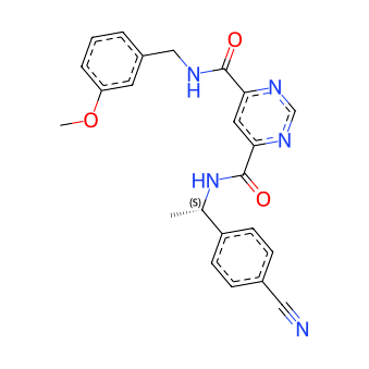 COc1cccc(CNC(=O)c2cc(C(=O)N[C@@H](C)c3ccc(C#N)cc3)ncn2)c1